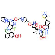 Cc1ncsc1-c1ccc([C@H](C)NC(=O)[C@@H]2C[C@@H](O)CN2C(=O)[C@@H](c2cc(OCC3CCN(CCOc4nc(N5CC6CCC(C5)N6)c5cnc(-c6cc(O)cc7cccc(Cl)c67)c(F)c5n4)CC3)no2)C(C)C)cc1